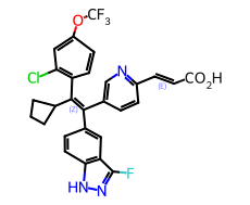 O=C(O)/C=C/c1ccc(/C(=C(\c2ccc(OC(F)(F)F)cc2Cl)C2CCC2)c2ccc3[nH]nc(F)c3c2)cn1